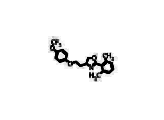 Cc1cccc(C)c1C1=NC(CCOc2ccc(OC(F)(F)F)cc2)CO1